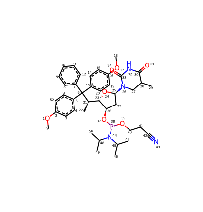 COc1ccc(C(c2ccccc2)(c2ccc(OC)cc2)[C@H](C)[C@@H]2O[C@@H](N3CC(C)C(=O)NC3=O)C[C@H]2OP(OCCC#N)N(C(C)C)C(C)C)cc1